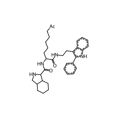 CC(=O)CCCCCC(NC(=O)C1NCC2CCCCC21)C(=O)NCCc1c(-c2ccccc2)[nH]c2ccccc12